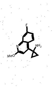 COc1cc(C2(N)CC2)c2ccc(F)cc2n1